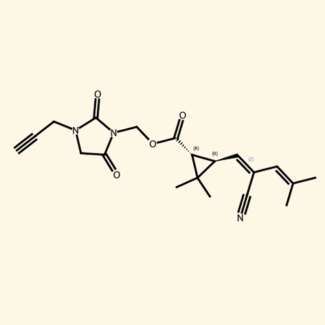 C#CCN1CC(=O)N(COC(=O)[C@@H]2[C@@H](/C=C(\C#N)C=C(C)C)C2(C)C)C1=O